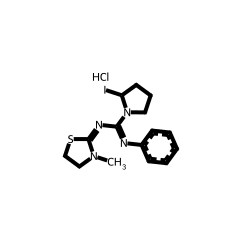 CN1CCSC1=NC(=Nc1ccccc1)N1CCCC1I.Cl